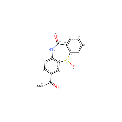 COC(=O)c1ccc2c(c1)[S+]([O-])c1ccccc1C(=O)N2